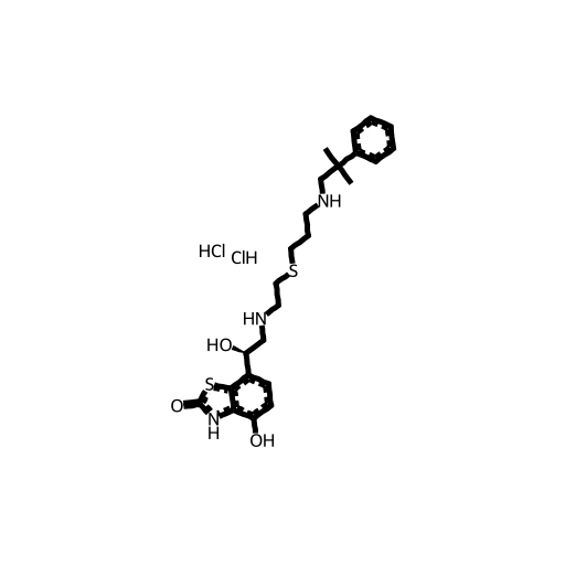 CC(C)(CNCCCSCCNC[C@H](O)c1ccc(O)c2[nH]c(=O)sc12)c1ccccc1.Cl.Cl